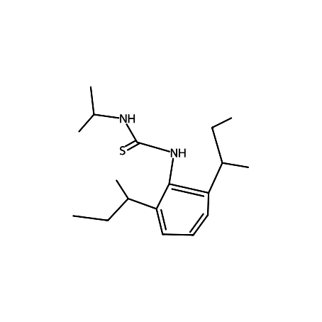 CCC(C)c1cccc(C(C)CC)c1NC(=S)NC(C)C